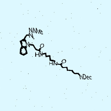 CCCCCCCCCCCCCCCCC(=O)NCCCCCNC(=O)CCn1c(CN(C)NC)cc2ccccc21